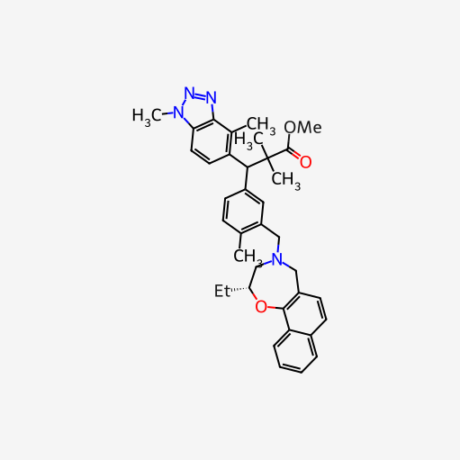 CC[C@@H]1CN(Cc2cc(C(c3ccc4c(nnn4C)c3C)C(C)(C)C(=O)OC)ccc2C)Cc2ccc3ccccc3c2O1